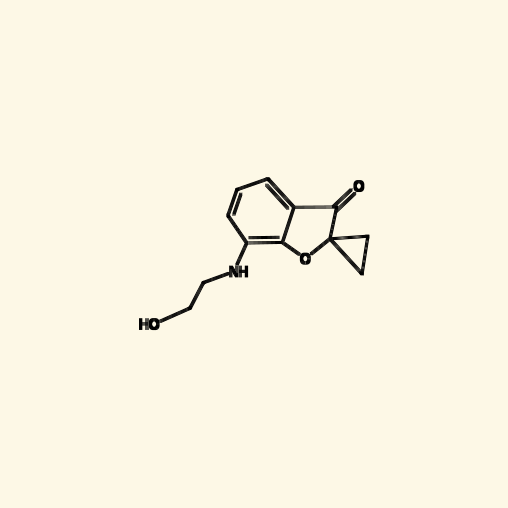 O=C1c2cccc(NCCO)c2OC12CC2